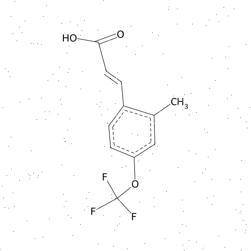 Cc1cc(OC(F)(F)F)ccc1/C=C/C(=O)O